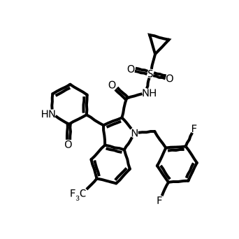 O=C(NS(=O)(=O)C1CC1)c1c(-c2ccc[nH]c2=O)c2cc(C(F)(F)F)ccc2n1Cc1cc(F)ccc1F